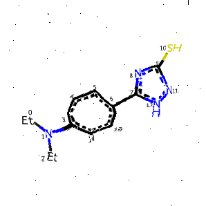 CCN(CC)c1ccc(-c2nc(S)n[nH]2)cc1